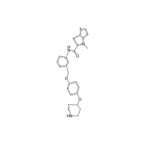 Cn1c(C(=O)Nc2cccc(COc3ccc(OC4CCNCC4)cc3)c2)cc2sccc21